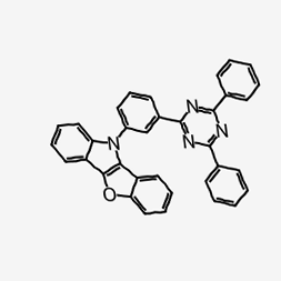 c1ccc(-c2nc(-c3ccccc3)nc(-c3cccc(-n4c5ccccc5c5oc6ccccc6c54)c3)n2)cc1